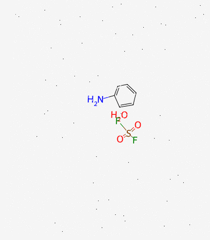 Nc1ccccc1.O.O=S(=O)(F)F